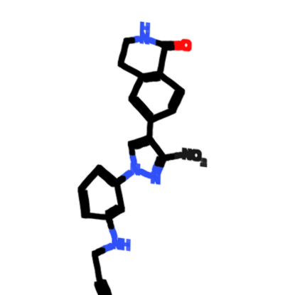 C#CCNc1cccc(-n2cc(-c3ccc4c(c3)CCNC4=O)c([N+](=O)[O-])n2)c1